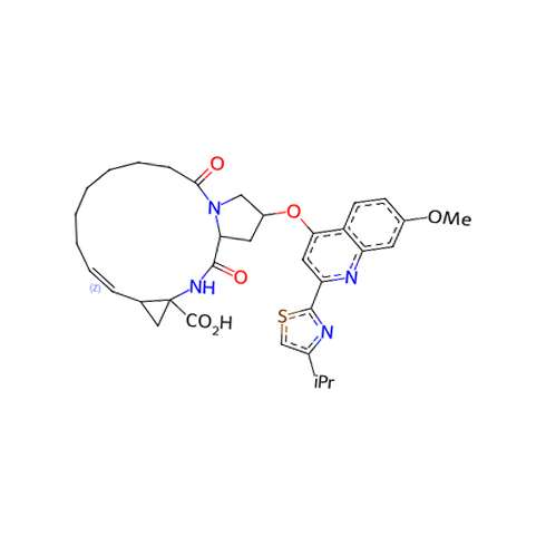 COc1ccc2c(OC3CC4C(=O)NC5(C(=O)O)CC5/C=C\CCCCCCC(=O)N4C3)cc(-c3nc(C(C)C)cs3)nc2c1